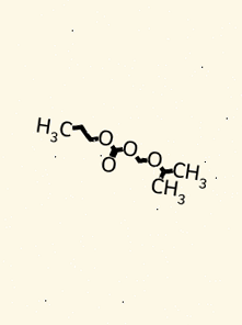 CCCOC(=O)OCOC(C)C